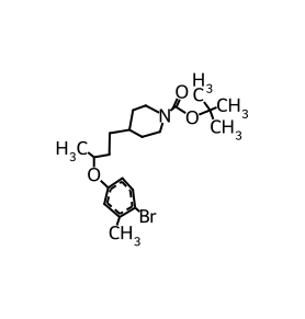 Cc1cc(OC(C)CCC2CCN(C(=O)OC(C)(C)C)CC2)ccc1Br